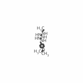 CCCNC(=N)NC(=N)NCc1ccc(OC(C)C)cc1